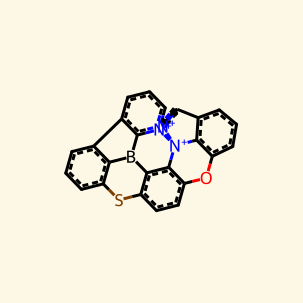 c1cc2c3c(c1)-c1ccc[n+]4c1B3c1c(ccc3c1[N+]41c4c(cccc4-c4cccc[n+]41)O3)S2